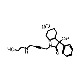 Cl.O=C(NCC#CCNCCO)C(O)(c1ccccc1)C1CCCCC1